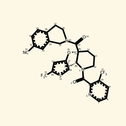 CCC[C@H]1N(C(=O)c2ncccc2C(F)(F)F)CCC[C@]1(Oc1csc(C(F)(F)F)c1)C(=O)N1CCc2ccc(C#N)cc2C1